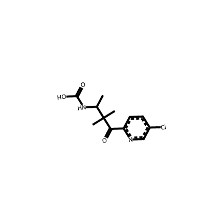 CC(NC(=O)O)C(C)(C)C(=O)c1ccc(Cl)cn1